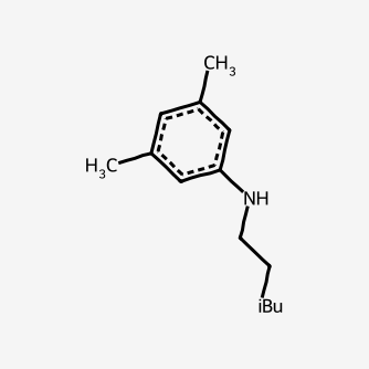 CCC(C)CCNc1cc(C)cc(C)c1